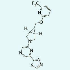 FC(F)(F)c1cccc(OCC2[C@H]3CN(c4cncc(-c5nncs5)n4)C[C@@H]23)n1